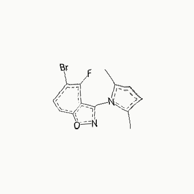 Cc1ccc(C)n1-c1noc2ccc(Br)c(F)c12